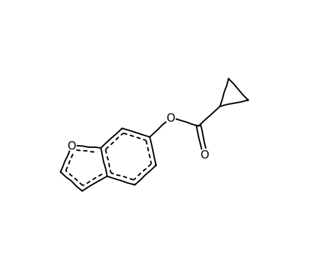 O=C(Oc1ccc2ccoc2c1)C1CC1